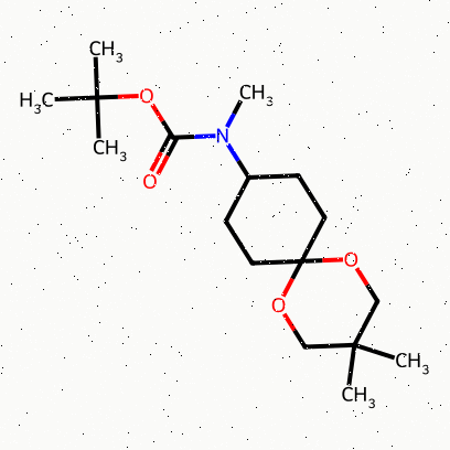 CN(C(=O)OC(C)(C)C)C1CCC2(CC1)OCC(C)(C)CO2